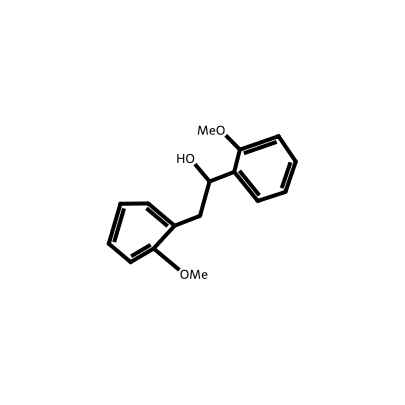 COc1ccccc1CC(O)c1ccccc1OC